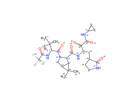 CC(C)(C)C(NC(=O)C(F)(F)F)C(=O)N1CC2C(C1C(=O)NC(CC1CCNC1=O)C(=O)C(=O)NC1CC1)C2(C)C